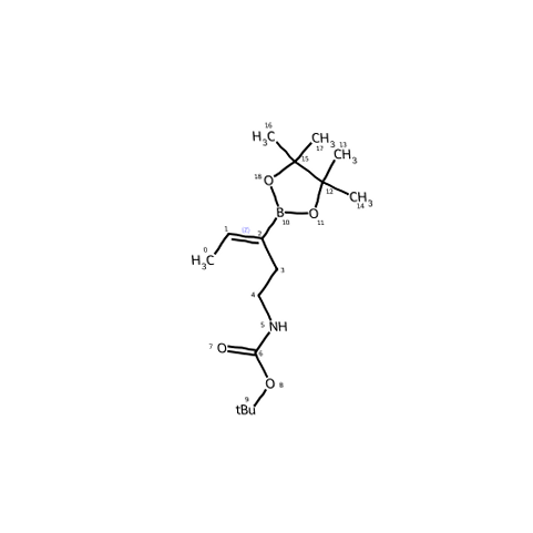 C/C=C(\CCNC(=O)OC(C)(C)C)B1OC(C)(C)C(C)(C)O1